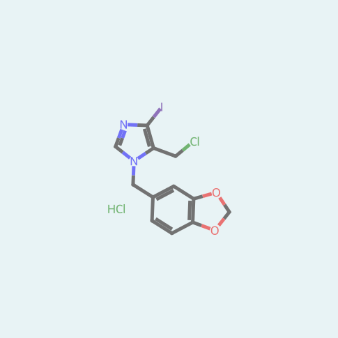 Cl.ClCc1c(I)ncn1Cc1ccc2c(c1)OCO2